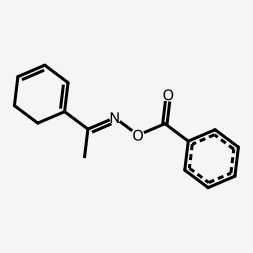 C/C(=N\OC(=O)c1ccccc1)C1=CC=CCC1